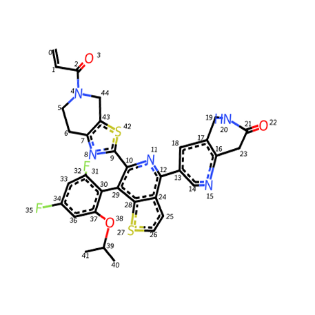 C=CC(=O)N1CCc2nc(-c3nc(-c4cnc5c(c4)CNC(=O)C5)c4ccsc4c3-c3c(F)cc(F)cc3OC(C)C)sc2C1